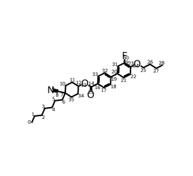 CCCCCCCC1(C#N)CCC(OC(=O)c2ccc(-c3ccc(OCCCC)c(F)c3)cc2)CC1